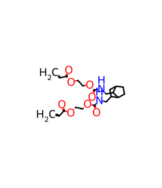 C=CC(=O)OCCOC(=O)NCC1CC2CCC1C2CNC(=O)OCCOC(=O)C=C